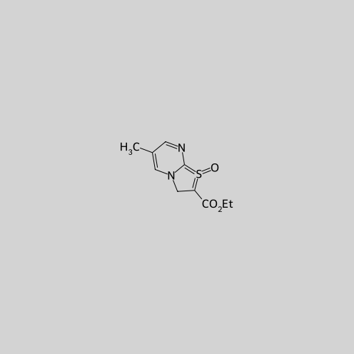 CCOC(=O)C1=S(=O)=C2N=CC(C)=CN2C1